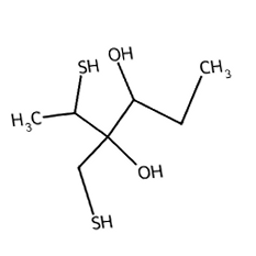 CCC(O)C(O)(CS)C(C)S